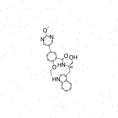 CCOc1ccc(-c2cnc(OC)nc2)cc1C(=O)N[C@@H](CO)Cc1c[nH]c2ccccc12